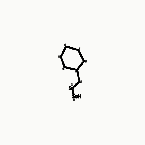 [SeH][Se]CC1CCCCC1